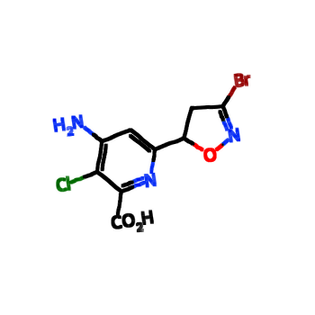 Nc1cc(C2CC(Br)=NO2)nc(C(=O)O)c1Cl